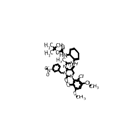 C/C=C1/CN(c2c(Cl)c(OC)cc(OC)c2Cl)C(=O)N(Cc2cccc([N+](=O)[O-])c2)/C1=N/C(C)NC1CCCCC1NC(=O)OC(C)(C)C